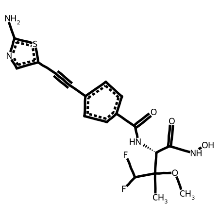 COC(C)(C(F)F)[C@H](NC(=O)c1ccc(C#Cc2cnc(N)s2)cc1)C(=O)NO